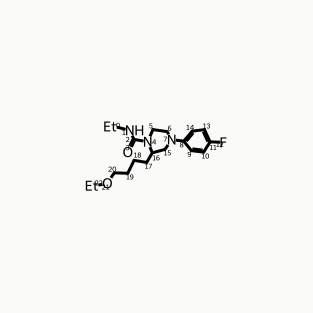 CCNC(=O)N1CCN(c2ccc(F)cc2)CC1CCCCOCC